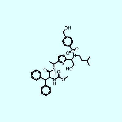 COC(=O)N[C@H](C(=O)NC(C)c1ccc(C(CO)N(CCC(C)C)S(=O)(=O)c2ccc(CO)cc2)s1)C(c1ccccc1)c1ccccc1